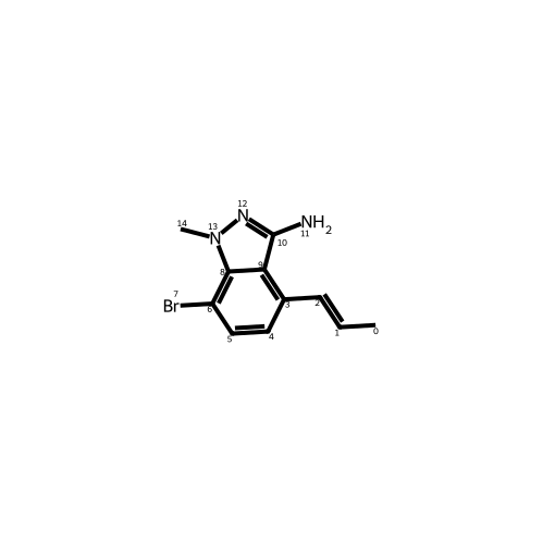 C/C=C/c1ccc(Br)c2c1c(N)nn2C